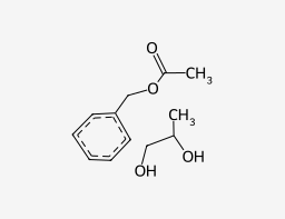 CC(=O)OCc1ccccc1.CC(O)CO